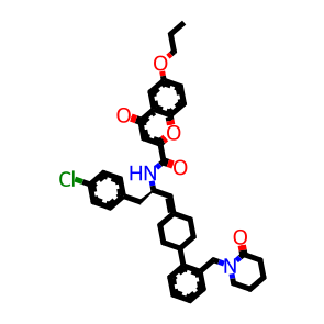 CCCOc1ccc2oc(C(=O)N[C@@H](C=C3CCC(c4ccccc4CN4CCCCC4=O)CC3)Cc3ccc(Cl)cc3)cc(=O)c2c1